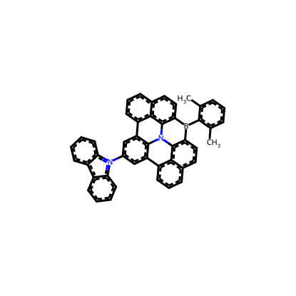 Cc1cccc(C)c1B1c2ccc3cccc4c3c2N2c3c-4cc(-n4c5ccccc5c5ccccc54)cc3-c3cccc4ccc1c2c34